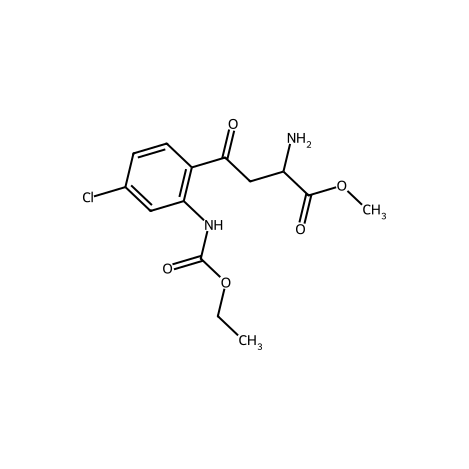 CCOC(=O)Nc1cc(Cl)ccc1C(=O)CC(N)C(=O)OC